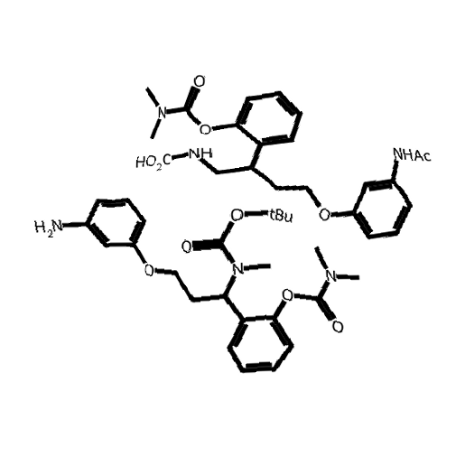 CC(=O)Nc1cccc(OCCC(CNC(=O)O)c2ccccc2OC(=O)N(C)C)c1.CN(C)C(=O)Oc1ccccc1C(CCOc1cccc(N)c1)N(C)C(=O)OC(C)(C)C